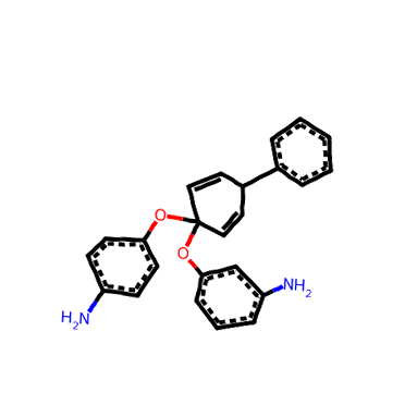 Nc1ccc(OC2(Oc3cccc(N)c3)C=CC(c3ccccc3)C=C2)cc1